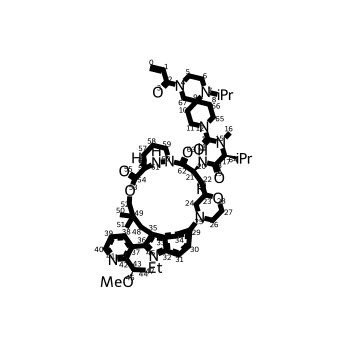 C=CC(=O)N1CCN(C(C)C)C2(CCN(C(=O)N(C)[C@H](C(=O)N[C@H]3C[C@H]4CN(CCO4)c4ccc5c(c4)c(c(-c4cccnc4[C@H](C)OC)n5CC)CC(C)(C)COC(=O)[C@@H]4CCCN(N4)C3=O)C(C)C)CC2)C1